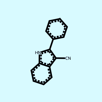 N#Cc1c(-c2cc[c]cc2)[nH]c2ccccc12